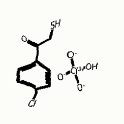 O=C(CS)c1ccc(Cl)cc1.[O-][Cl+3]([O-])([O-])O